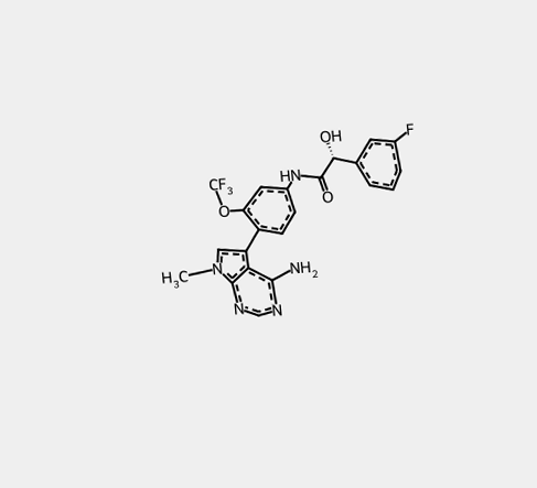 Cn1cc(-c2ccc(NC(=O)[C@H](O)c3cccc(F)c3)cc2OC(F)(F)F)c2c(N)ncnc21